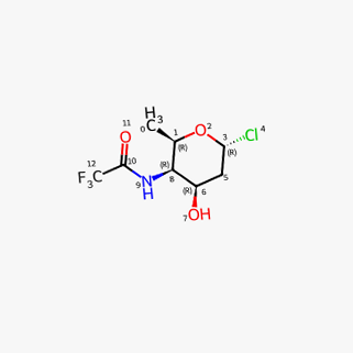 C[C@H]1O[C@H](Cl)C[C@@H](O)[C@H]1NC(=O)C(F)(F)F